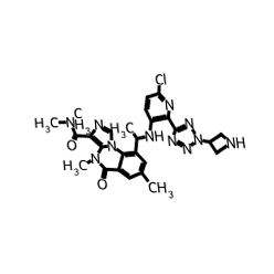 Cc1cc(C(C)Nc2ccc(Cl)nc2-c2nnn(C3CNC3)n2)c2c(c1)c(=O)n(C)c1c(C(=O)N(C)C)ncn21